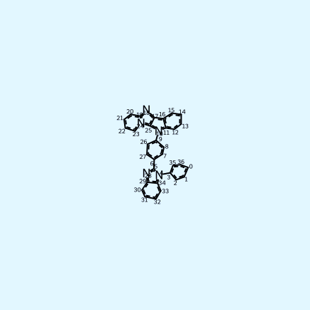 c1ccc(-n2c(-c3ccc(-n4c5ccccc5c5nc6ccccn6c54)cc3)nc3ccccc32)cc1